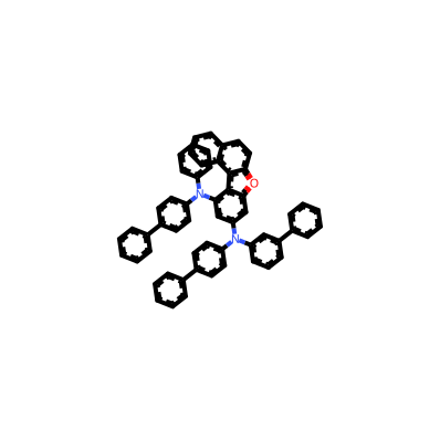 c1ccc(-c2ccc(N(c3cccc(-c4ccccc4)c3)c3cc(N(c4ccccc4)c4ccc(-c5ccccc5)cc4)c4c(c3)oc3ccc5ccccc5c34)cc2)cc1